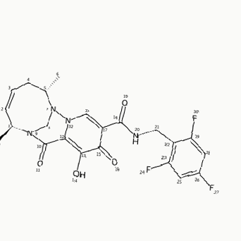 C[C@H]1/C=C\C[C@H](C)N2CN1C(=O)c1c(O)c(=O)c(C(=O)NCc3c(F)cc(F)cc3F)cn12